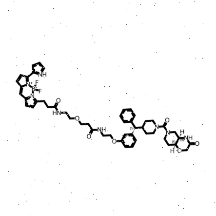 O=C(CCOCCNC(=O)CCc1ccc2n1[B-](F)(F)[N+]1=C(c3ccc[nH]3)C=CC1=C2)NCCOc1cccc([C@H](c2ccccc2)C2CCN(C(=O)N3CC[C@@H]4OCC(=O)N[C@@H]4C3)CC2)c1